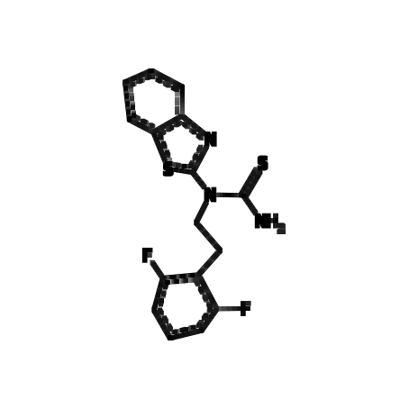 NC(=S)N(CCc1c(F)cccc1F)c1nc2ccccc2s1